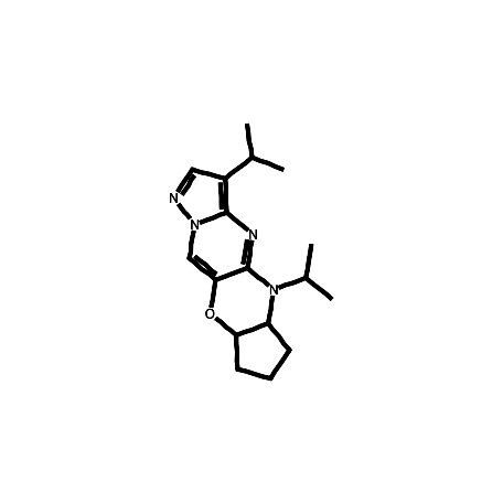 CC(C)c1cnn2cc3c(nc12)N(C(C)C)C1CCCC1O3